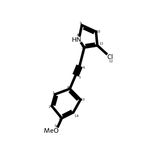 COc1ccc(C#Cc2[nH]ccc2Cl)cc1